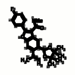 CNC(=O)c1c(-c2ccc(F)cc2)oc2cc(N(C)N)c(B3OC(C)(C)C(C)(C)O3)cc12